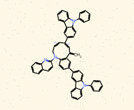 C=C1/C=C(c2ccc3c(c2)c2ccccc2n3-c2ccccc2)\C=C/CN(c2ccc3ccccc3n2)c2ccc(-c3ccc4c(c3)c3ccccc3n4-c3ccccc3)cc21